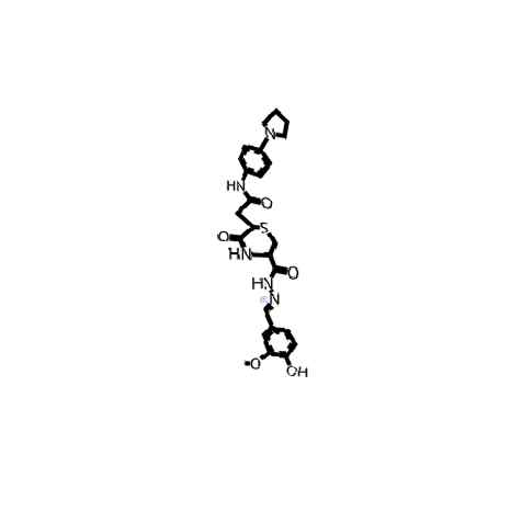 COc1cc(/C=N/NC(=O)C2CSC(CC(=O)Nc3ccc(N4CCCC4)cc3)C(=O)N2)ccc1O